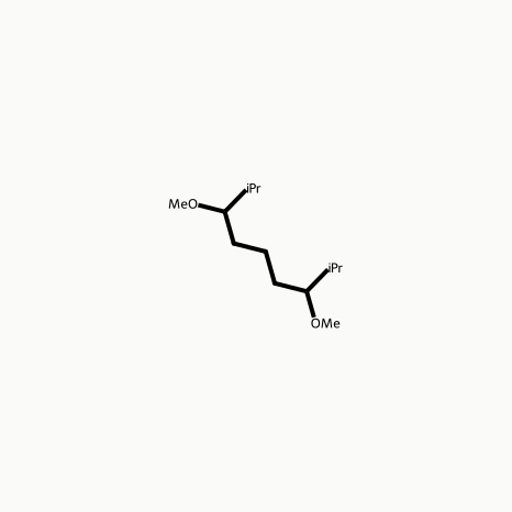 COC(CCCC(OC)C(C)C)C(C)C